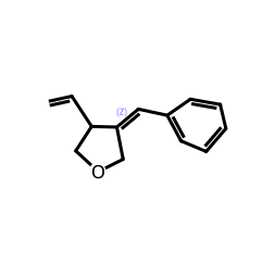 C=CC1COC/C1=C\c1ccccc1